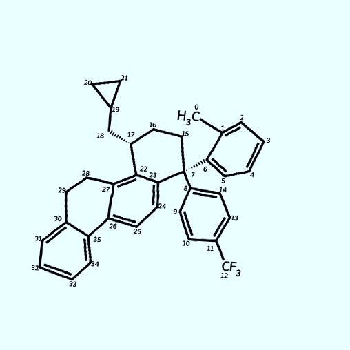 Cc1ccccc1[C@@]1(c2ccc(C(F)(F)F)cc2)CC[C@@H](CC2CC2)c2c1ccc1c2CCc2ccccc2-1